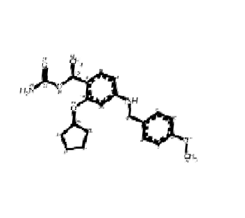 COc1ccc(CNc2ccc(C(C)OC(N)=O)c(OC3CCCC3)c2)cc1